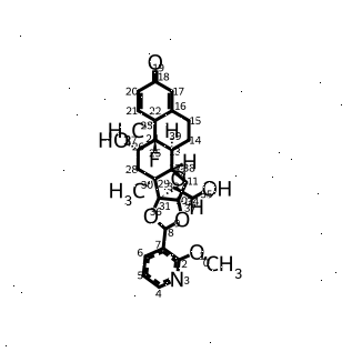 COc1ncccc1C1O[C@@H]2C[C@H]3[C@@H]4CCC5=CC(=O)C=C[C@]5(C)[C@@]4(F)[C@@H](O)C[C@]3(C)[C@]2(C(=O)CO)O1